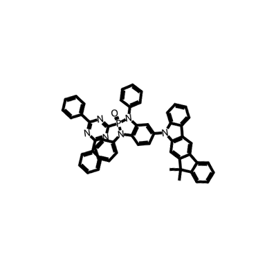 CC1(C)c2ccccc2-c2cc3c4ccccc4n(-c4ccc5c(c4)N(c4ccccc4)P(=O)(c4nc(-c6ccccc6)nc(-c6ccccc6)n4)N5c4ccccc4)c3cc21